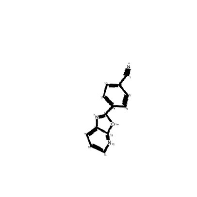 N#Cc1ccc(-c2nc3cccnc3o2)cc1